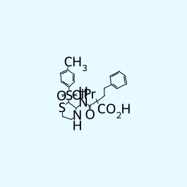 Cc1ccc(S(=O)(=O)C2SCCNC2NC(=O)C(CCc2ccccc2)(C(=O)O)C(C)C)cc1